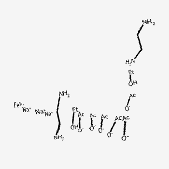 CC(=O)[O-].CC(=O)[O-].CC(=O)[O-].CC(=O)[O-].CC(=O)[O-].CC(=O)[O-].CCO.CCO.NCCN.NCCN.[Fe+3].[Na+].[Na+].[Na+]